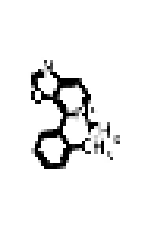 Cc1ccccc1-c1c2ocnc2cc[n+]1C